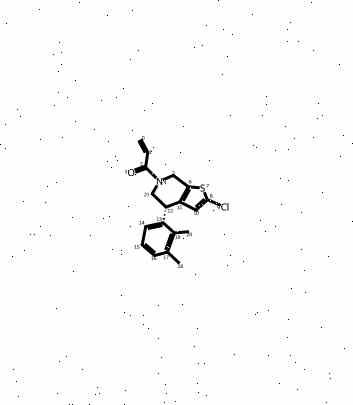 C=CC(=O)N1Cc2sc(Cl)cc2[C@H](c2cccc(C)c2C)C1